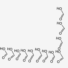 O=CO.O=CO.O=CO.O=CO.O=CO.O=CO.O=CO.O=CO.O=CO.O=CO.O=CO.O=CO